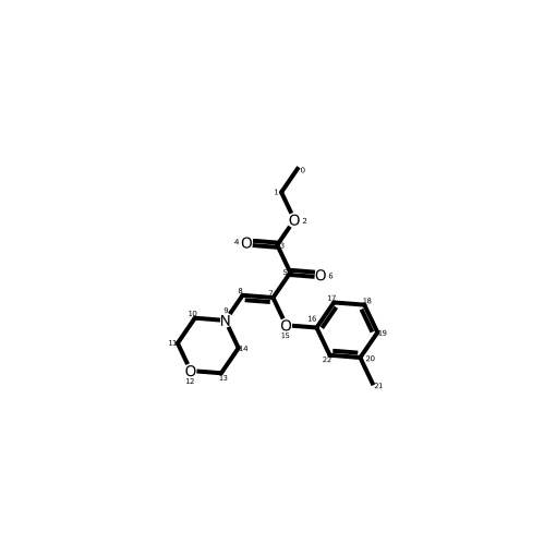 CCOC(=O)C(=O)C(=CN1CCOCC1)Oc1cccc(C)c1